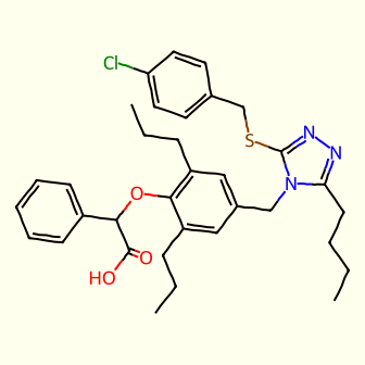 CCCCc1nnc(SCc2ccc(Cl)cc2)n1Cc1cc(CCC)c(OC(C(=O)O)c2ccccc2)c(CCC)c1